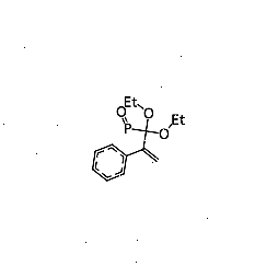 C=C(c1ccccc1)C(OCC)(OCC)P=O